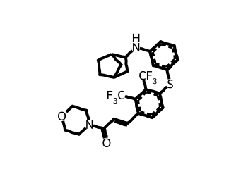 O=C(C=Cc1ccc(Sc2cccc(NC3CC4CCC3C4)c2)c(C(F)(F)F)c1C(F)(F)F)N1CCOCC1